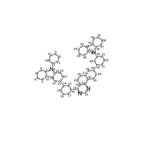 c1ccc(-n2c3ccccc3c3cc(-c4cccc(-c5ncnc6c5ccc5cc(-c7cccc(-n8c9ccccc9c9ccccc98)c7)ccc56)c4)ccc32)cc1